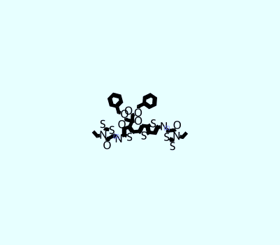 CCN1C(=O)/C(=N/c2cc3c(s2)-c2sc4cc(/N=C5\SC(=S)N(CC)C5=O)sc4c2OC3(C(=O)OCc2ccccc2)C(=O)OCc2ccccc2)SC1=S